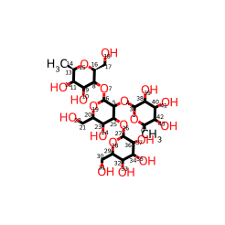 CC1OC(OC2C(OC3C(O)C(O)[C@@H](C)O[C@H]3CO)OC(CO)C(O)C2OC2OC(CO)C(O)C(O)C2O)C(O)C(O)C1O